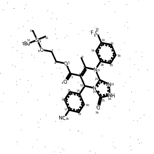 CC1=C(C(=O)OCCO[Si](C)(C)C(C)(C)C)C(c2ccc(C#N)cc2)n2c(n[nH]c2=O)N1c1cccc(C(F)(F)F)c1